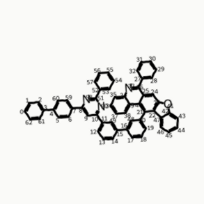 c1ccc(-c2ccc(-c3cc(-c4cccc(-c5cccc(-c6c7c(cc8c(-c9ccccc9)nc9ccccc9c68)oc6ccccc67)c5)c4)nc(-c4ccccc4)n3)cc2)cc1